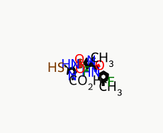 Cc1cc(NC(=O)c2c(F)c(S(=O)(=O)N[C@H]3CN(C(=O)O)C[C@H]3CS)cn2C)ccc1F